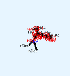 CCCCCCCCCCCCC/C=C/[C@@H](O)[C@H](CO[C@@H]1OC(CO)[C@@H](O[C@@H]2OC(CO)[C@H](O[C@@H]3OC(CO)[C@H](O)[C@H](O[C@@H]4OC(CO)[C@H](O)[C@H](O[C@@H]5OC(CO)[C@H](O)[C@H](O)C5NC(C)=O)C4O)C3NC(C)=O)[C@H](O[C@]3(C(=O)O)CC(O)[C@@H](NC(C)=O)C([C@H](O)[C@H](O)CO)O3)C2O)[C@H](O)C1O)NC(=O)CCCCCCCCCCCCCCCCC